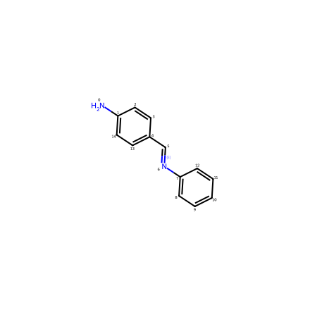 Nc1ccc(/C=N/c2ccccc2)cc1